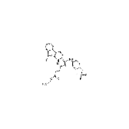 CCOC(=O)CCc1nc(Nc2ccc(CC(F)(F)F)cc2)c2ccc(-c3ncccc3C(F)(F)F)cc2n1